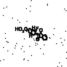 O=C(O)N1C[C@@H]2C[C@@H](N3C(=O)c4ccccc4C3=O)[C@@H](F)[C@@H]2C1